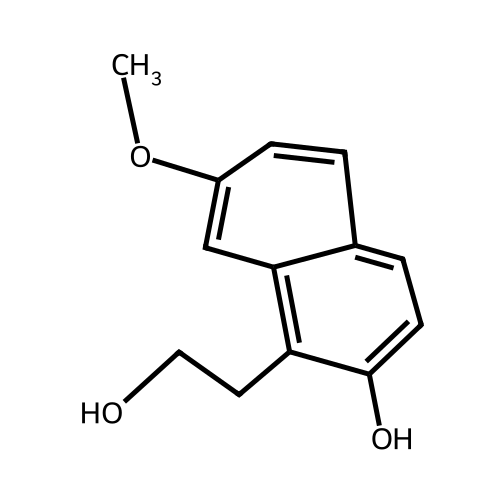 COc1ccc2ccc(O)c(CCO)c2c1